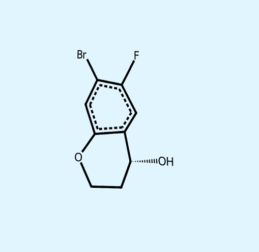 O[C@@H]1CCOc2cc(Br)c(F)cc21